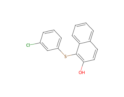 Oc1ccc2ccccc2c1Sc1cccc(Cl)c1